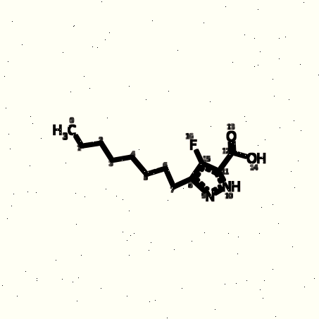 CCCCCCCCc1n[nH]c(C(=O)O)c1F